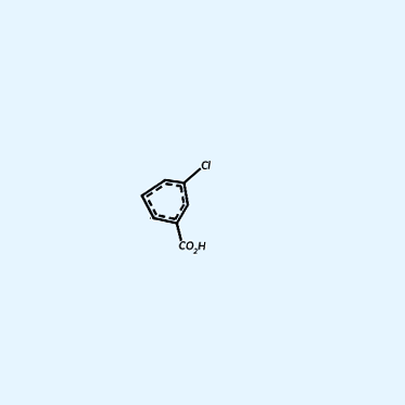 O=C(O)c1[c]ccc(Cl)c1